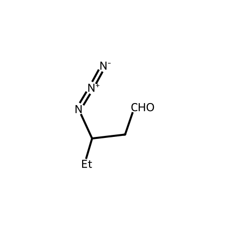 CCC(CC=O)N=[N+]=[N-]